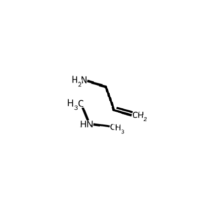 C=CCN.CNC